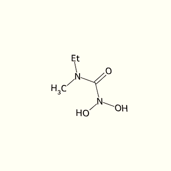 CCN(C)C(=O)N(O)O